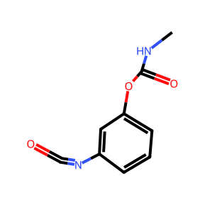 CNC(=O)Oc1cccc(N=C=O)c1